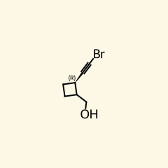 OCC1CC[C@H]1C#CBr